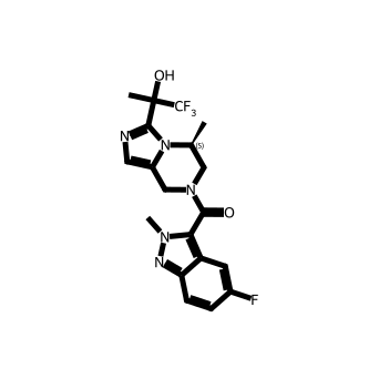 C[C@H]1CN(C(=O)c2c3cc(F)ccc3nn2C)Cc2cnc(C(C)(O)C(F)(F)F)n21